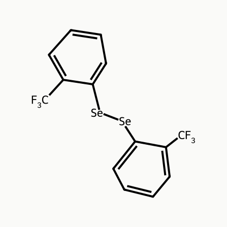 FC(F)(F)c1ccccc1[Se][Se]c1ccccc1C(F)(F)F